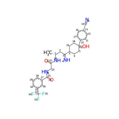 C[C@H](CC(=N)C1CCC(O)(c2ccc(C#N)cc2)CC1)NC(=O)CNC(=O)c1cccc(C(F)(F)F)c1